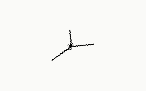 CCCCCCCCCCCCCCCCCCOP(=O)(CCCCCCCCCCCCCCCCCC)OCCCCCCCCCCCC